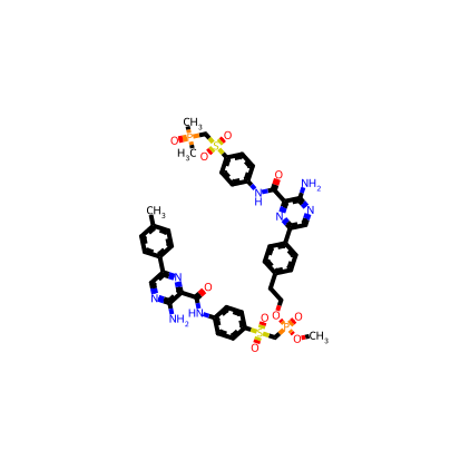 COP(=O)(CS(=O)(=O)c1ccc(NC(=O)c2nc(-c3ccc(C)cc3)cnc2N)cc1)OCCc1ccc(-c2cnc(N)c(C(=O)Nc3ccc(S(=O)(=O)CP(C)(C)=O)cc3)n2)cc1